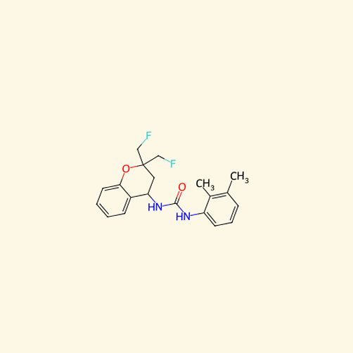 Cc1cccc(NC(=O)NC2CC(CF)(CF)Oc3ccccc32)c1C